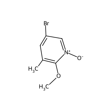 COc1c(C)cc(Br)c[n+]1[O-]